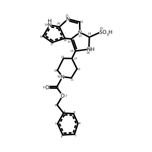 O=C(OCc1ccccc1)N1CCC(C2=C3c4cc[nH]c4N=CN3C(S(=O)(=O)O)N2)CC1